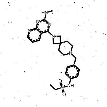 CCS(=O)(=O)Nc1ccc(CN2CCC3(CC2)CN(c2nc(NC)nc4ncccc24)C3)cc1